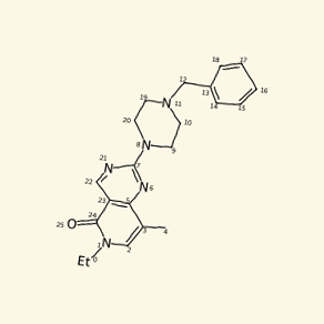 CCn1cc(C)c2nc(N3CCN(Cc4ccccc4)CC3)ncc2c1=O